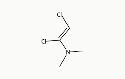 CN(C)C(Cl)=CCl